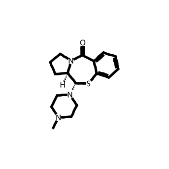 CN1CCN([C@H]2Sc3ccccc3C(=O)N3CCC[C@H]23)CC1